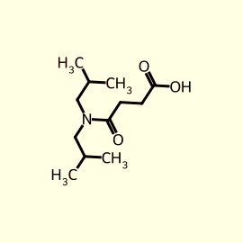 CC(C)CN(CC(C)C)C(=O)CCC(=O)O